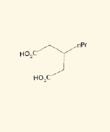 CCC[C](CC(=O)O)CC(=O)O